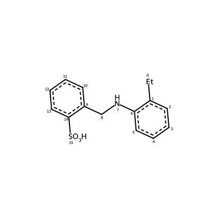 CCc1ccccc1NCc1ccccc1S(=O)(=O)O